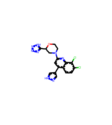 Clc1ccc2c(-c3cn[nH]c3)cc(N3CCOC(c4nnn[nH]4)C3)nc2c1Cl